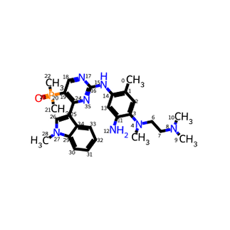 Cc1cc(N(C)CCN(C)C)c(N)cc1Nc1ncc(P(C)(C)=O)c(-c2cn(C)c3ccccc23)n1